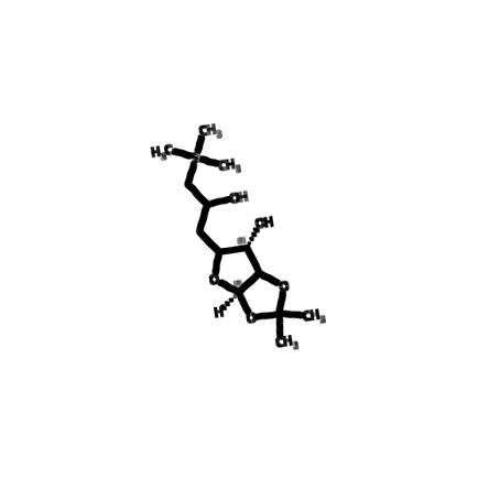 CC1(C)OC2[C@H](OC(CC(O)C[Si](C)(C)C)[C@@H]2O)O1